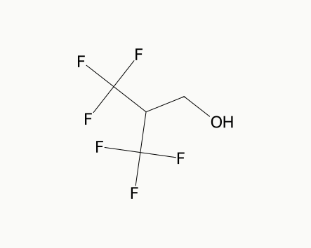 OCC(C(F)(F)F)C(F)(F)F